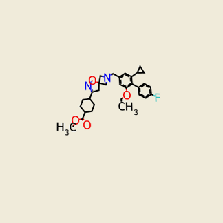 CCOc1cc(CN2CC3(CC(C4CCC(C(=O)OC)CC4)=NO3)C2)cc(C2CC2)c1-c1ccc(F)cc1